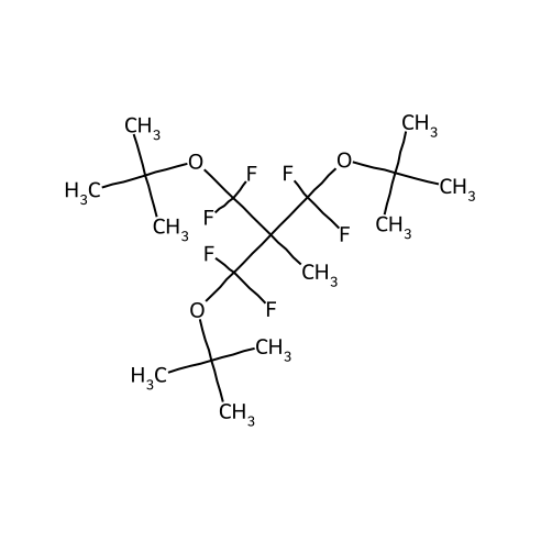 CC(C)(C)OC(F)(F)C(C)(C(F)(F)OC(C)(C)C)C(F)(F)OC(C)(C)C